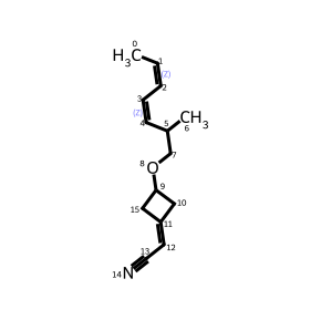 C/C=C\C=C/C(C)COC1CC(=CC#N)C1